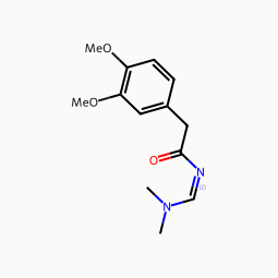 COc1ccc(CC(=O)/N=C\N(C)C)cc1OC